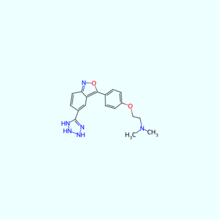 CN(C)CCOc1ccc(-c2onc3ccc(C4=NNNN4)cc23)cc1